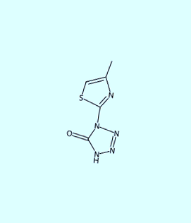 Cc1csc(-n2nn[nH]c2=O)n1